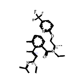 CC[C@@H](/C=C(\C)c1c(C)cccc1C(=O)N(CC)[C@@H](C)COc1ccc(C(F)(F)F)cn1)N=C(C)C